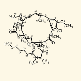 COc1cc2cc(c1Cl)N(C)C(=O)C[C@H](OC(=O)[C@H](C)N(C)C(=O)CCCCCS)[C@@]1(C)CC(C)(O1)C1C[C@@](O)(NC(=O)O1)[C@H](OC)/C=C/C=C(\C)C2